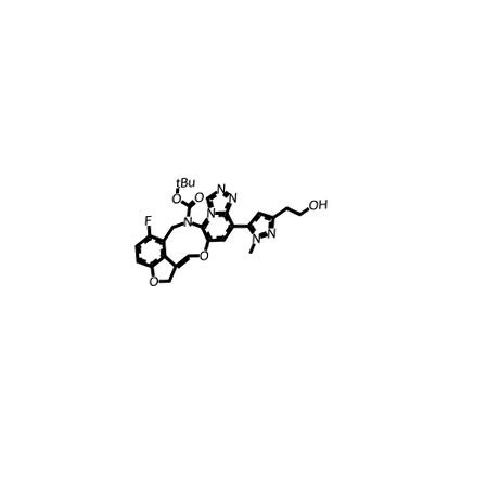 Cn1nc(CCO)cc1-c1cc2c(n3cnnc13)N(C(=O)OC(C)(C)C)Cc1c(F)ccc3c1/C(=C/O2)CO3